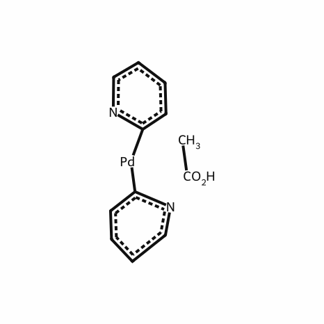 CC(=O)O.c1cc[c]([Pd][c]2ccccn2)nc1